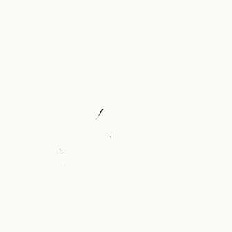 CC(C)N1CCC[C@](CCC2CCCCC2)(N(C)C)C1